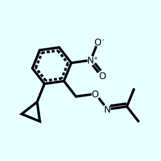 CC(C)=NOCc1c(C2CC2)cccc1[N+](=O)[O-]